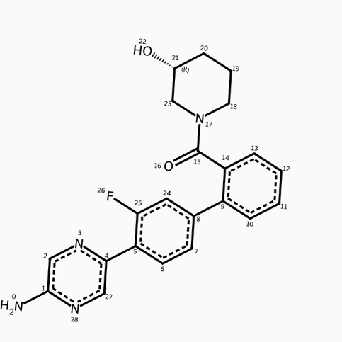 Nc1cnc(-c2ccc(-c3ccccc3C(=O)N3CCC[C@@H](O)C3)cc2F)cn1